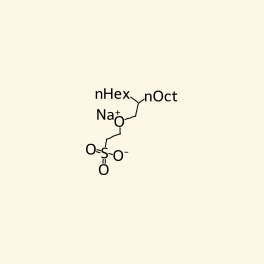 CCCCCCCCC(CCCCCC)COCCS(=O)(=O)[O-].[Na+]